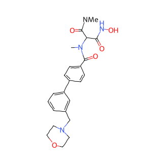 CNC(=O)C(C(=O)NO)N(C)C(=O)c1ccc(-c2cccc(CN3CCOCC3)c2)cc1